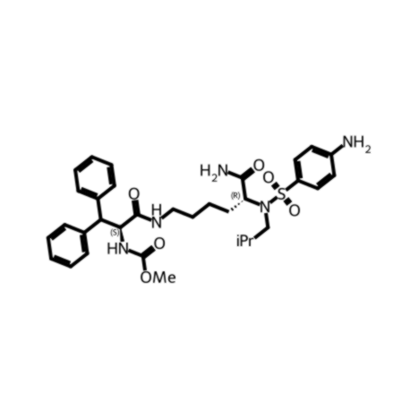 COC(=O)N[C@H](C(=O)NCCCC[C@H](C(N)=O)N(CC(C)C)S(=O)(=O)c1ccc(N)cc1)C(c1ccccc1)c1ccccc1